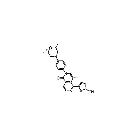 Cc1cn(-c2ccc(N3CC(C)O[C@H](C)C3)cc2)c(=O)c2ccnc(-c3ccc(C#N)s3)c12